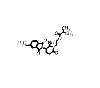 CCc1ccc2c(c1)C(=O)N(C1CCC(=O)N(CCOC(=O)C(C)C)C1=N)C2=O